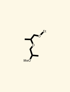 CCOCC(C)OCC(C)OC